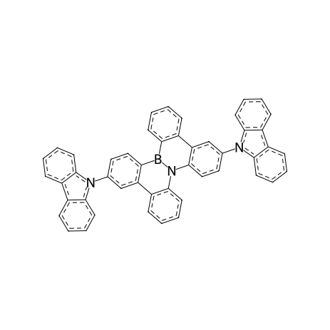 c1ccc2c(c1)B1c3ccc(-n4c5ccccc5c5ccccc54)cc3-c3ccccc3N1c1ccc(-n3c4ccccc4c4ccccc43)cc1-2